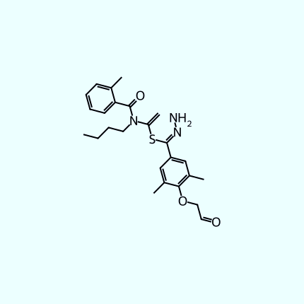 C=C(S/C(=N\N)c1cc(C)c(OCC=O)c(C)c1)N(CCCC)C(=O)c1ccccc1C